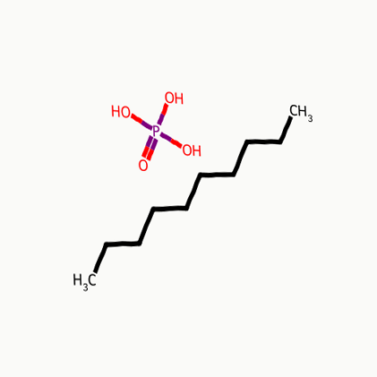 CCCCCCCCCC.O=P(O)(O)O